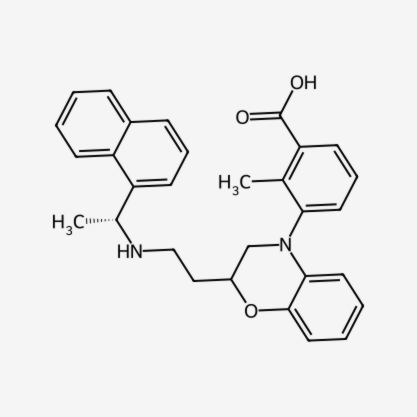 Cc1c(C(=O)O)cccc1N1CC(CCN[C@H](C)c2cccc3ccccc23)Oc2ccccc21